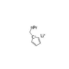 CCCC[c-]1cccc1.[Li+]